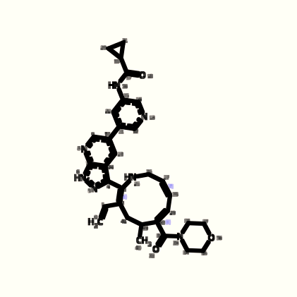 C=C/C1=C(\c2n[nH]c3ncc(-c4cncc(NC(=O)C5CC5)c4)cc23)NC/C=C\C=C(\C(=O)N2CCOCC2)C(C)C1